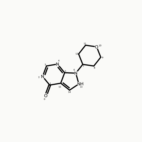 O=c1ncnc2n(C3CCOCC3)[nH]cc1-2